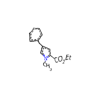 CCOC(=O)c1cc(-c2ccccc2)cn1C